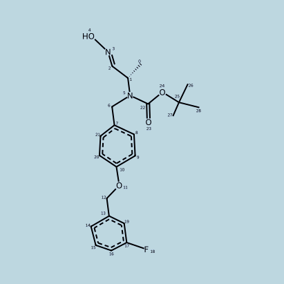 C[C@@H](C=NO)N(Cc1ccc(OCc2cccc(F)c2)cc1)C(=O)OC(C)(C)C